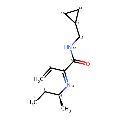 C=C/C(=N\[C@@H](C)CC)C(=O)NCC1CC1